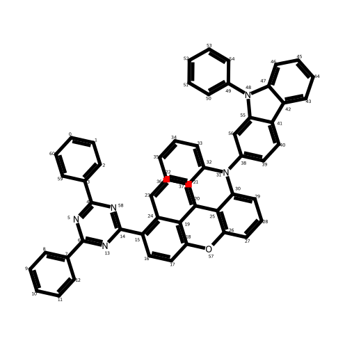 c1ccc(-c2nc(-c3ccccc3)nc(-c3ccc4c5c(cccc35)-c3c(cccc3N(c3ccccc3)c3ccc5c6ccccc6n(-c6ccccc6)c5c3)O4)n2)cc1